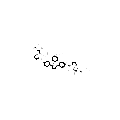 COC(=O)N[C@@H](C(C)C)C(O)N1CCC[C@H]1C(=O)NC1=CCC(C2CCC(C3CC=C(NC(=O)[C@@H]4CCCN4C(O)[C@@H](NC(=O)OC)C(C)C)CC3)N2C2CCC(OC)CC2)C=C1